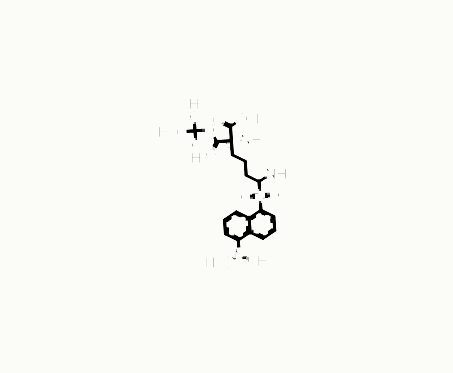 CN(C)c1cccc2c(S(=O)(=O)C(N)CCC[C@](N)(C(=O)O)C(=O)OC(C)(C)C)cccc12